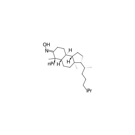 CCC[C@@]1(C)C(=NO)CC[C@H]2[C@@H]3CC[C@H]([C@H](C)CCCC(C)C)[C@@]3(C)CC[C@@H]21